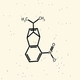 CC(C)C1C2C=CC1c1c2cccc1[N+](=O)[O-]